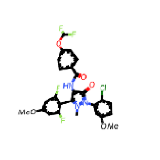 COc1cc(F)c(-c2c(NC(=O)c3ccc(OC(F)F)cc3)c(=O)n(-c3cc(OC)ccc3Cl)n2C)c(F)c1